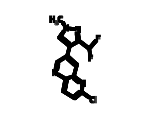 Cn1cc(-c2cnc3ccc(Cl)nc3c2)c(C(F)F)n1